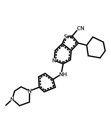 CN1CCN(c2ccc(Nc3cc4c(C5CCCCC5)c(C#N)sc4cn3)cc2)CC1